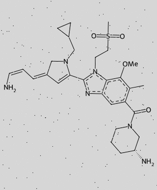 COc1c(C)c(C(=O)N2CCC[C@@H](N)C2)cc2nc(C3=C/C(=C/C=C\N)CN3CC3CC3)n(CCS(C)(=O)=O)c12